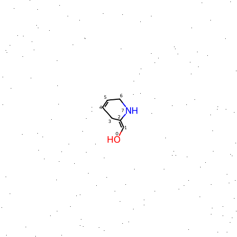 OC=C1CC=CCN1